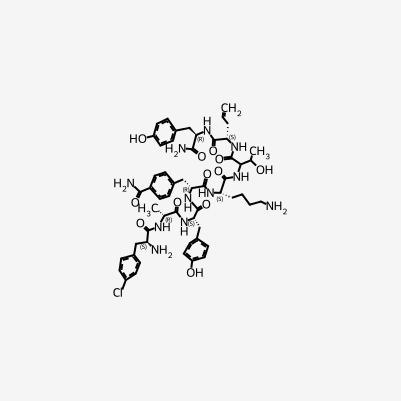 C=CC[C@H](NC(=O)C(NC(=O)[C@H](CCCCN)NC(=O)[C@@H](Cc1ccc(C(N)=O)cc1)NC(=O)[C@H](Cc1ccc(O)cc1)NC(=O)[C@@H](C)NC(=O)[C@@H](N)Cc1ccc(Cl)cc1)C(C)O)C(=O)N[C@H](Cc1ccc(O)cc1)C(N)=O